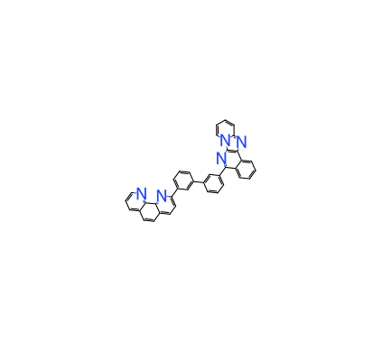 c1cc(-c2cccc(-c3nc4c(nc5ccccn54)c4ccccc34)c2)cc(-c2ccc3ccc4cccnc4c3n2)c1